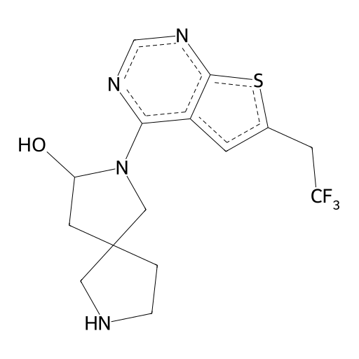 OC1CC2(CCNC2)CN1c1ncnc2sc(CC(F)(F)F)cc12